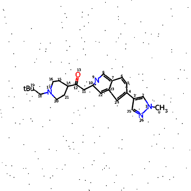 Cn1cc(-c2ccc3cnc(CC(=O)C4CCN(CC(C)(C)C)CC4)cc3c2)cn1